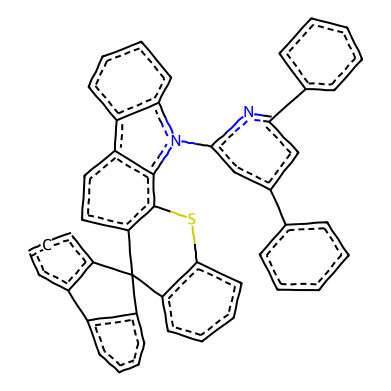 c1ccc(-c2cc(-c3ccccc3)nc(-n3c4ccccc4c4ccc5c(c43)Sc3ccccc3C53c4ccccc4-c4ccccc43)c2)cc1